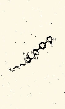 CCOCCn1cc(Nc2ncc(-c3ccc(N4CCNC4=O)cc3)o2)c(C)n1